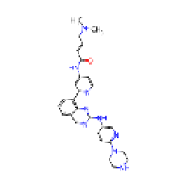 CN(C)CC=CC(=O)Nc1ccnc(-c2cccc3cnc(Nc4ccc(N5CCNCC5)nc4)nc23)c1